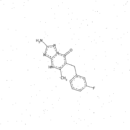 Cc1[nH]c2nc(N)nn2c(=O)c1Cc1cccc(F)c1